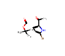 CC(=O)c1ccc(Br)[nH]1.CC(C)(C)OC=O